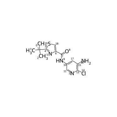 CC(C)(C)c1nc(C(=O)Nc2cnc(Cl)c(N)c2)cs1